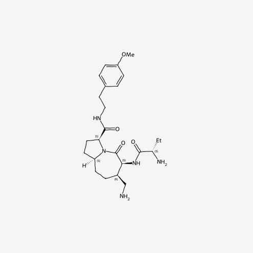 CC[C@H](N)C(=O)N[C@@H]1C(=O)N2[C@@H](CC[C@@H]1CN)CC[C@H]2C(=O)NCCc1ccc(OC)cc1